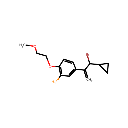 C=C(c1ccc(OCCOC)c(P)c1)C(Br)C1CC1